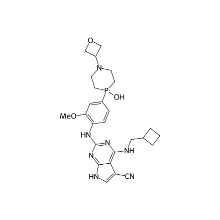 COc1cc([P]2(O)CCN(C3COC3)CC2)ccc1Nc1nc(NCC2CCC2)c2c(C#N)c[nH]c2n1